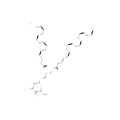 CC/C=C\C/C=C\C/C=C\C/C=C\C/C=C\CCCC(=O)OCC(COC1OC(CO)C(O)C(O)C1O)OC(=O)CC/C=C\C/C=C\C/C=C\C/C=C\CO